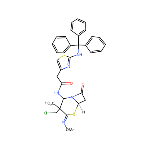 CON=C1S[C@@H]2CC(=O)N2C(NC(=O)Cc2csc(NC(c3ccccc3)(c3ccccc3)c3ccccc3)n2)C1(CCl)C(=O)O